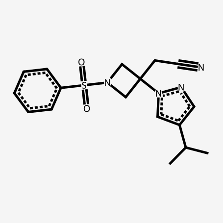 CC(C)c1cnn(C2(CC#N)CN(S(=O)(=O)c3ccccc3)C2)c1